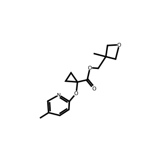 Cc1ccc(OC2(C(=O)OCC3(C)COC3)CC2)nc1